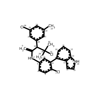 C=C(Nc1ccc(Cl)c(-c2cccc3[nH]ccc23)c1)C(c1cc(C)cc(Cl)c1)C(C)(C)Cl